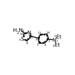 CCN(CC)c1ccc(-c2csc(N)n2)cc1